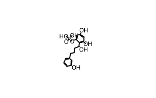 O=P(O)(O)Oc1cc(O)cc(O)c1C(O)CCCc1cccc(O)c1